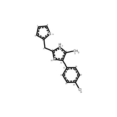 Cc1[nH]c(Cc2cccs2)nc1-c1ccc(Cl)cc1